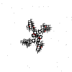 FC(F)(F)C(F)(F)C(F)(F)C(Cc1ccc([PH](c2ccccc2)(c2ccc(CC(C(F)(F)F)(C(F)(F)F)C(F)(F)C(F)(F)C(F)(F)F)cc2)[Pt]([Cl])([Cl])[PH](c2ccccc2)(c2ccc(CC(C(F)(F)F)(C(F)(F)F)C(F)(F)C(F)(F)C(F)(F)F)cc2)c2ccc(CC(C(F)(F)F)(C(F)(F)F)C(F)(F)C(F)(F)C(F)(F)F)cc2)cc1)(C(F)(F)F)C(F)(F)F